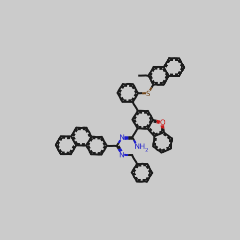 Cc1cc2ccccc2cc1Sc1ccccc1-c1cc(/C(N)=N/C(=N\Cc2ccccc2)c2ccc3c(ccc4ccccc43)c2)c2c(c1)oc1ccccc12